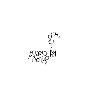 COc1ccc(CCn2nnnc2-c2ccc3c(c2)[C@H](n2ccccc2=O)[C@@H](O)C(C)(C)O3)cc1